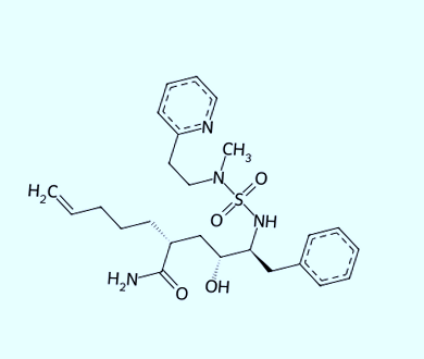 C=CCCC[C@H](C[C@@H](O)[C@H](Cc1ccccc1)NS(=O)(=O)N(C)CCc1ccccn1)C(N)=O